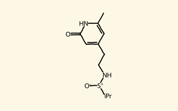 Cc1cc(CCN[S+]([O-])C(C)C)cc(=O)[nH]1